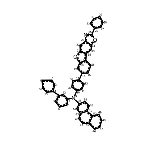 c1ccc(-c2cccc(N(c3ccc(-c4ccc5c(c4)oc4cc6nc(-c7ccccc7)oc6cc45)cc3)c3ccc4c(ccc5ccccc54)c3)c2)cc1